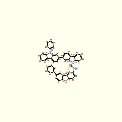 c1ccc(-c2ccc3oc4ccc5c(c4c3c2)SC(n2c3ccccc3c3ccc(-c4ccc6c7ccccc7n(-c7ccccc7)c6c4)cc32)N5)cc1